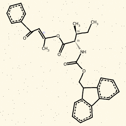 CC[C@H](C)[C@H](NC(=O)OCC1c2ccccc2-c2ccccc21)C(=O)O/C(C)=C/C(=O)c1ccccc1